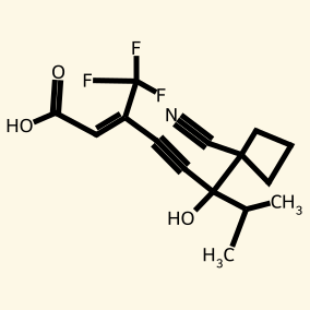 CC(C)C(O)(C#C/C(=C/C(=O)O)C(F)(F)F)C1(C#N)CCC1